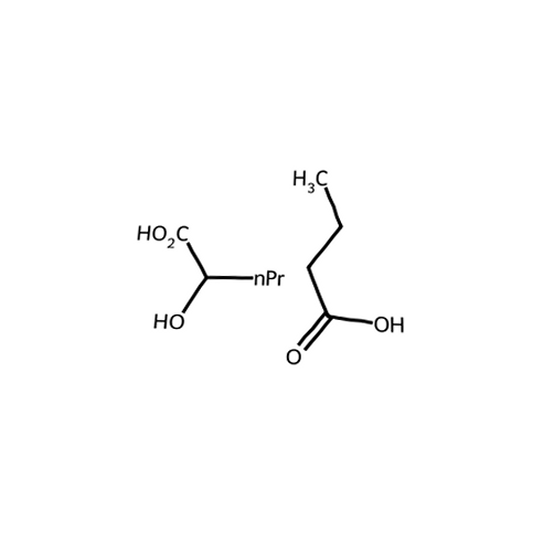 CCCC(=O)O.CCCC(O)C(=O)O